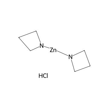 C1C[N]([Zn][N]2CCC2)C1.Cl